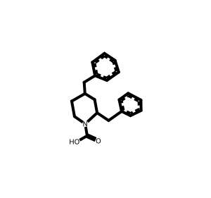 O=C(O)N1CCC(Cc2ccccc2)CC1Cc1ccccc1